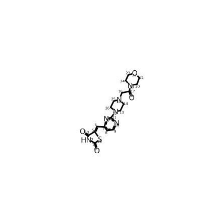 O=C1NC(=O)/C(=C/c2ccnc(N3CCN(CC(=O)N4CCOCC4)CC3)n2)S1